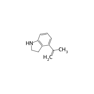 C=C(C)c1cccc2c1CCN2